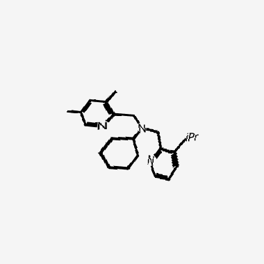 Cc1cnc(CN(Cc2ncccc2C(C)C)C2CCCCC2)c(C)c1